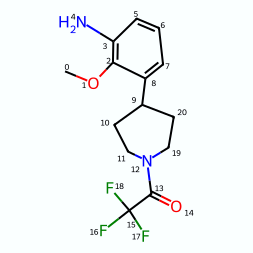 COc1c(N)cccc1C1CCN(C(=O)C(F)(F)F)CC1